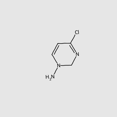 NN1C=CC(Cl)=NC1